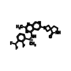 Cc1nc(N[C@H](C)c2cccc(C(F)F)c2F)c2cc(N3CC4(CCNC4=O)C3)ncc2n1